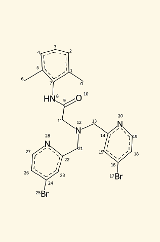 Cc1cccc(C)c1NC(=O)CN(Cc1cc(Br)ccn1)Cc1cc(Br)ccn1